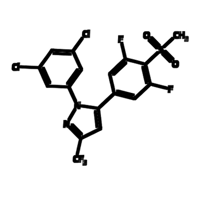 CS(=O)(=O)c1c(F)cc(-c2cc(C(F)(F)F)nn2-c2cc(Cl)cc(Cl)c2)cc1F